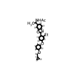 CCc1cc(Oc2cccc(OCC3CC3)c2)ccc1-c1nc2ccc(C(C)NC(C)=O)cc2o1